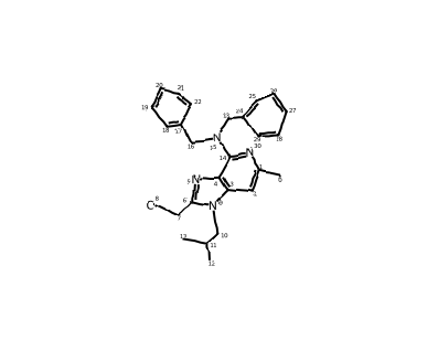 Cc1cc2c(nc(CCl)n2CC(C)C)c(N(Cc2ccccc2)Cc2ccccc2)n1